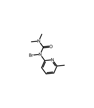 Cc1cccc(N(Br)C(=O)N(C)C)n1